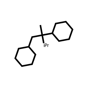 CC(C)C(C)(CC1CCCCC1)C1CCCCC1